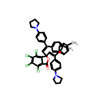 Cc1ccc(C(=CC2(C=C(c3ccc(C)cc3)c3ccc(N4CCCC4)cc3)OC(=O)c3c(Cl)c(Cl)c(Cl)c(Cl)c32)c2ccc(N3CCCC3)cc2)cc1